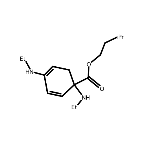 CCNC1=CCC(NCC)(C(=O)OCCC(C)C)C=C1